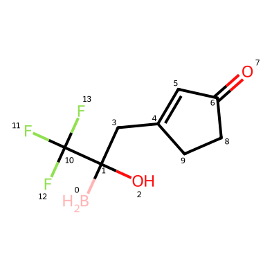 BC(O)(CC1=CC(=O)CC1)C(F)(F)F